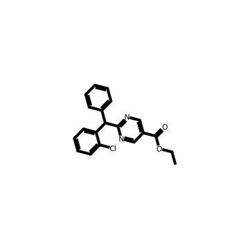 CCOC(=O)c1cnc(C(c2ccccc2)c2ccccc2Cl)nc1